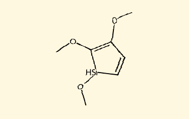 COC1=C(OC)[SiH](OC)C=C1